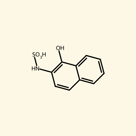 O=S(=O)(O)Nc1ccc2ccccc2c1O